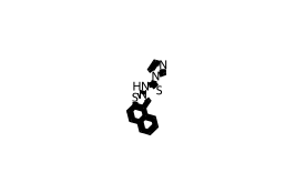 S=C(NN1Cc2c(ccc3ccccc23)S1)n1ccnc1